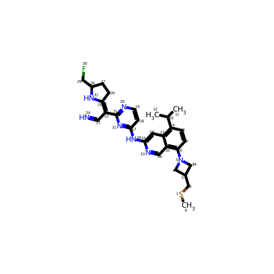 CSCC1CN(c2ccc(C(C)C)c3cc(Nc4ccnc(/C(C=N)=C5\CCC(CF)N5)n4)ncc23)C1